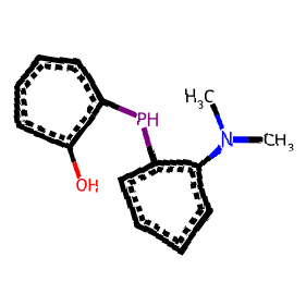 CN(C)c1ccccc1Pc1ccccc1O